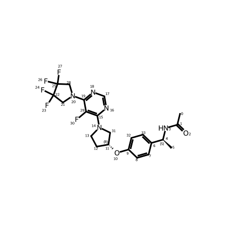 CC(=O)N[C@@H](C)c1ccc(O[C@@H]2CCN(c3ncnc(N4CC(F)(F)C(F)(F)C4)c3F)C2)cc1